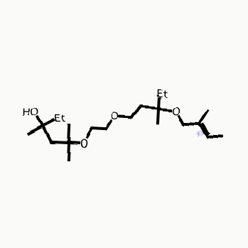 C/C=C(\C)COC(C)(CC)CCOCCOC(C)(C)CC(C)(O)CC